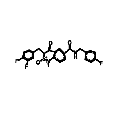 CN1c2ccc(C(=O)NCc3ccc(F)cc3)cc2C(=O)C(Cc2ccc(F)c(F)c2)[S+]1[O-]